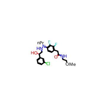 CCCN(NC[C@H](O)c1cccc(Cl)c1)c1ccc(CC(=O)NCCOC)c(F)c1F